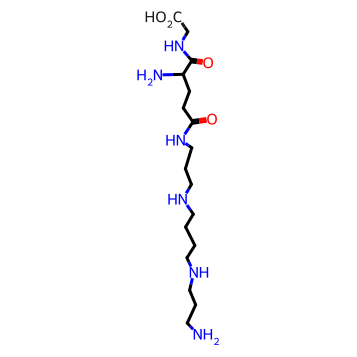 NCCCNCCCCNCCCNC(=O)CCC(N)C(=O)NCC(=O)O